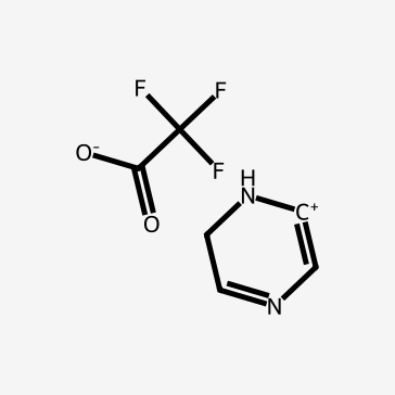 O=C([O-])C(F)(F)F.[C+]1=CN=CCN1